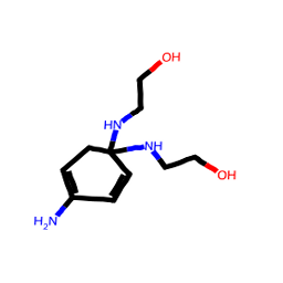 NC1=CCC(NCCO)(NCCO)C=C1